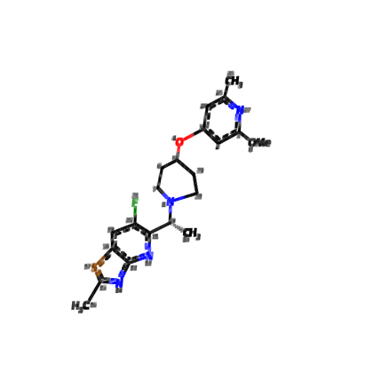 COc1cc(OC2CCN([C@H](C)c3nc4nc(C)sc4cc3F)CC2)cc(C)n1